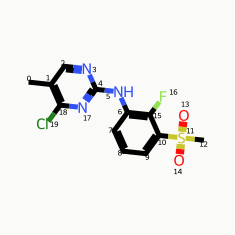 Cc1cnc(Nc2cccc(S(C)(=O)=O)c2F)nc1Cl